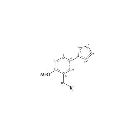 COc1ccc(-c2cccs2)cc1CBr